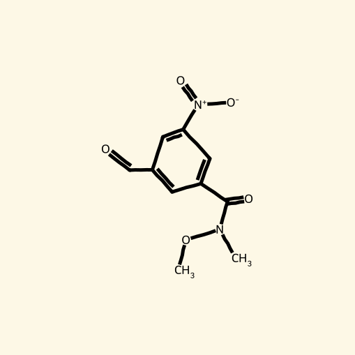 CON(C)C(=O)c1cc(C=O)cc([N+](=O)[O-])c1